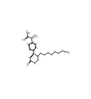 CCCCCCCCC1CCC(=O)C=C1c1ccc(C(C)C(=O)O)cc1